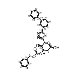 O=C(O)CC(NC(=O)OCc1ccccc1)C(=O)Cn1nnc(-c2cccc(-c3ccccc3)c2)n1